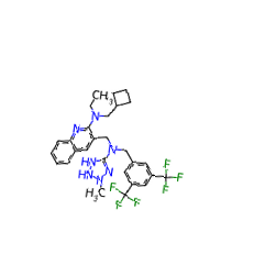 CCN(CC1CCC1)c1nc2ccccc2cc1CN(Cc1cc(C(F)(F)F)cc(C(F)(F)F)c1)C1=NN(C)NN1